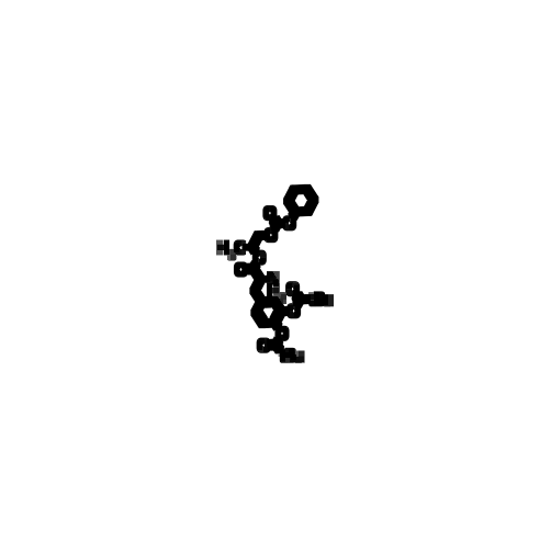 C[C@@H](COC(=O)OC1CCCCC1)OC(=O)[C@@H](N)Cc1ccc(OC(=O)C(C)(C)C)c(OC(=O)C(C)(C)C)c1